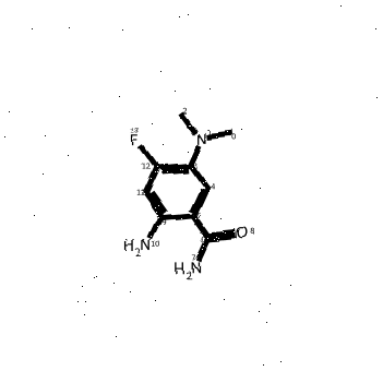 CN(C)c1cc(C(N)=O)c(N)cc1F